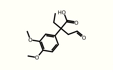 CCC(CC=O)(C(=O)O)c1ccc(OC)c(OC)c1